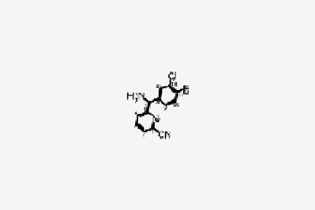 N#Cc1cccc(C(N)c2ccc(F)c(Cl)c2)n1